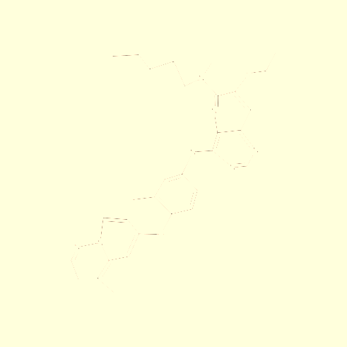 C/C=N\N1C=CC(Oc2ccc(Nc3ncnc4cc(OCC)c(N(C)CCCCC)nc34)cc2C)=C/C1=C\C